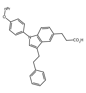 CCCOc1ccc(-n2cc(CCc3ccccc3)c3cc(CCC(=O)O)ccc32)cc1